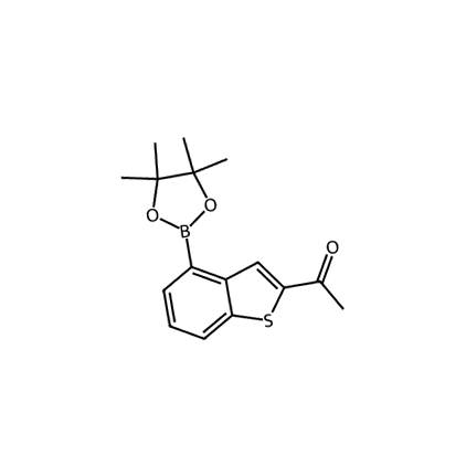 CC(=O)c1cc2c(B3OC(C)(C)C(C)(C)O3)cccc2s1